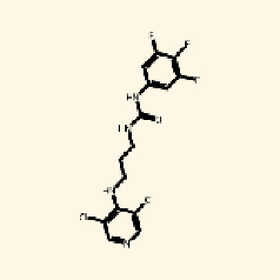 O=C(NCCCNc1c(Cl)cncc1Cl)Nc1cc(F)c(F)c(F)c1